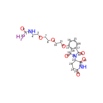 O=C(P)NCCOCCOCCOc1cccc2c1C(=O)N(C1CCC(=O)NC1=O)C2=O